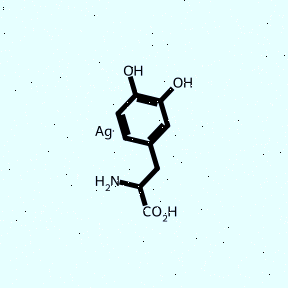 NC(Cc1ccc(O)c(O)c1)C(=O)O.[Ag]